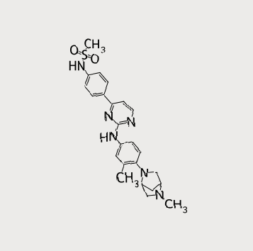 Cc1cc(Nc2nccc(-c3ccc(NS(C)(=O)=O)cc3)n2)ccc1N1CC2CC1CN2C